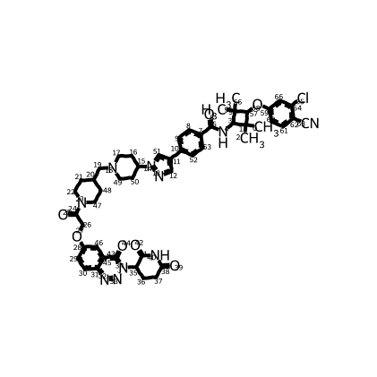 CC1(C)C(NC(=O)c2ccc(-c3cnn(C4CCN(CC5CCN(C(=O)COc6ccc7nnn(C8CCC(=O)NC8=O)c(=O)c7c6)CC5)CC4)c3)cc2)C(C)(C)C1Oc1ccc(C#N)c(Cl)c1